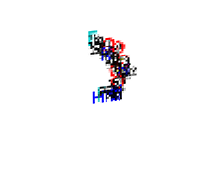 O=C1C(=O)N(Cc2ccc(F)cc2)c2ccc(S(=O)(=O)N3CCC[C@H]3COCc3nn[nH]c3CF)cc21